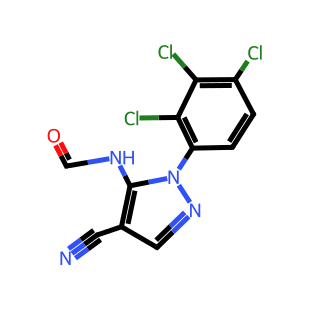 N#Cc1cnn(-c2ccc(Cl)c(Cl)c2Cl)c1NC=O